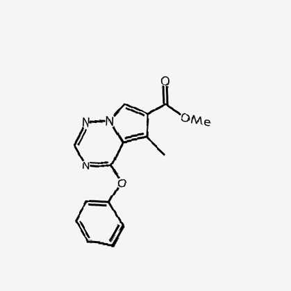 COC(=O)c1cn2ncnc(Oc3ccccc3)c2c1C